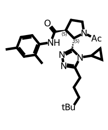 CC(=O)N1CC[C@H](C(=O)Nc2ccc(C)cc2C)[C@H]1c1nnc(CCCC(C)(C)C)n1C1CC1